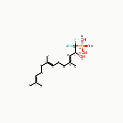 CC(C)=CCCC(C)=CCCC(C)=CC(O)C(F)(F)P(=O)(O)O